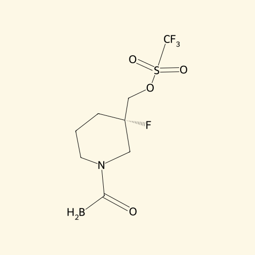 BC(=O)N1CCC[C@@](F)(COS(=O)(=O)C(F)(F)F)C1